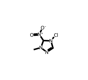 CN1N=CN(Cl)C1[N+](=O)[O-]